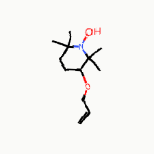 C=CCOC1CCC(C)(C)N(O)C1(C)C